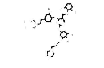 CCN(CC)C(=O)Cc1ccc(Oc2nc(Nc3cc(OC)c(OC)c(OCCCN4CCN(C)CC4)c3)ncc2C(=O)Nc2c(C)cccc2C)c(OC)c1